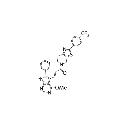 COc1ncnc2c1c(/C=C/C(=O)N1CCc3nc(-c4ccc(C(F)(F)F)cc4)sc3C1)c(-c1ccccc1)n2C